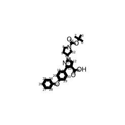 CC(C)(C)OC(=O)N1CC[C@@H](n2cc(C(=O)O)c(-c3ccc(Oc4ccccc4)cc3)n2)C1